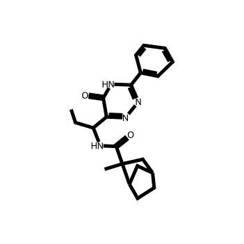 CCC(NC(=O)C1(C)CC2CCC1C2)c1nnc(-c2ccccc2)[nH]c1=O